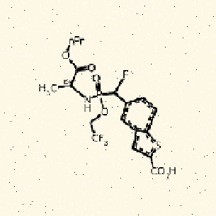 CCCOC(=O)[C@H](C)NP(=O)(OCC(F)(F)F)C(F)c1ccc2sc(C(=O)O)cc2c1